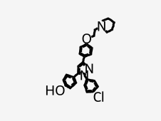 Oc1ccc(-c2cc(-c3ccc(OCCN4CCCCC4)cc3)nn2-c2ccc(Cl)cc2)cc1